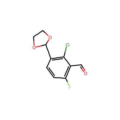 O=Cc1c(F)ccc(C2OCCO2)c1Cl